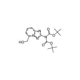 CC(C)(C)OC(=O)N(C(=O)OC(C)(C)C)c1nc2cccc(CO)n2n1